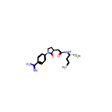 C=CC[C@H](NC(=O)CC1CCN(c2ccc(C(=N)N)cc2)C1=O)C(=O)O